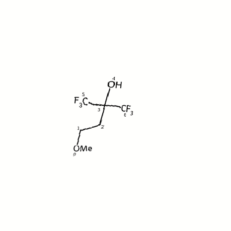 COCCC(O)(C(F)(F)F)C(F)(F)F